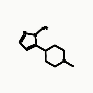 CCCn1nccc1C1CCN(C)CC1